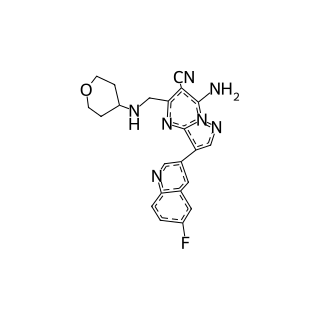 N#Cc1c(CNC2CCOCC2)nc2c(-c3cnc4ccc(F)cc4c3)cnn2c1N